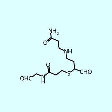 NC(=O)CCNCCC(C=O)SCCC(=O)NCC=O